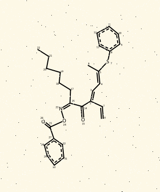 C=C/C(=C\C=C(/C)Sc1ccccc1)C(=O)/C(CCCCCC)=N\OC(=O)c1ccccc1